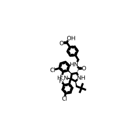 CC(C)(C)C[C@@H]1N[C@@H](C(=O)NCc2ccc(C(=O)O)cc2)[C@H](c2cccc(Cl)c2F)[C@@]1(N)c1ccc(Cl)cc1F